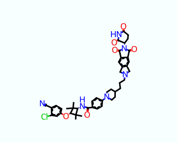 CC1(C)[C@H](NC(=O)c2ccc(N3CCC(CCCN4Cc5cc6c(cc5C4)C(=O)N([C@H]4CCC(=O)NC4=O)C6=O)CC3)cc2)C(C)(C)[C@H]1Oc1ccc(C#N)c(Cl)c1